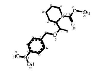 CC(OCc1ccc(B(O)O)cc1)C1CCCCN1C(=O)OC(C)(C)C